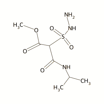 COC(=O)C(C(=O)NC(C)C)S(=O)(=O)NN